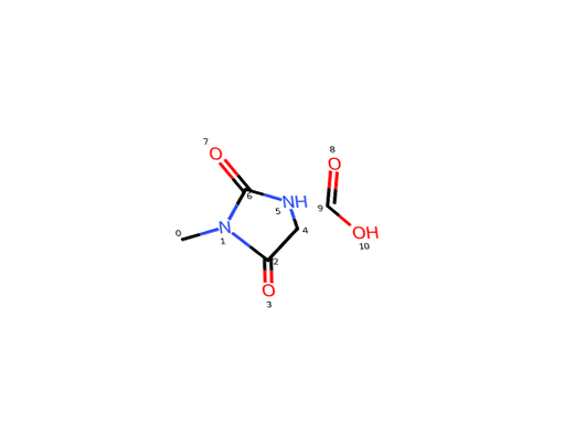 CN1C(=O)CNC1=O.O=CO